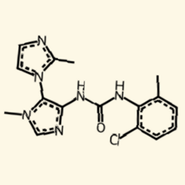 Cc1cccc(Cl)c1NC(=O)Nc1ncn(C)c1-n1ccnc1C